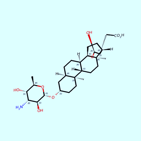 C[C@H]1O[C@H](O[C@H]2CC[C@@]3(C)[C@H](CC[C@@H]4[C@@H]3CC[C@]3(C)[C@@H]5CC[C@]43O[C@@H](O)[C@H]5CC(=O)O)C2)[C@@H](O)[C@H](N)[C@@H]1O